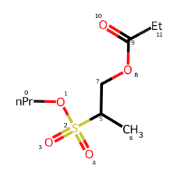 CCCOS(=O)(=O)C(C)COC(=O)CC